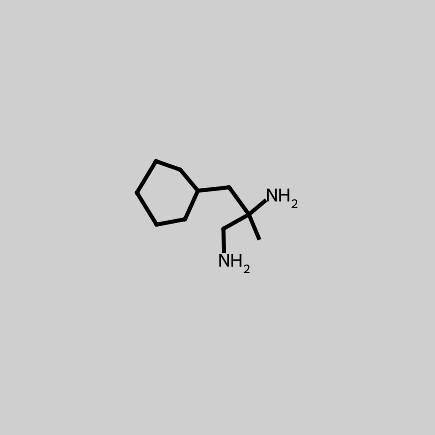 CC(N)(CN)CC1CCCCC1